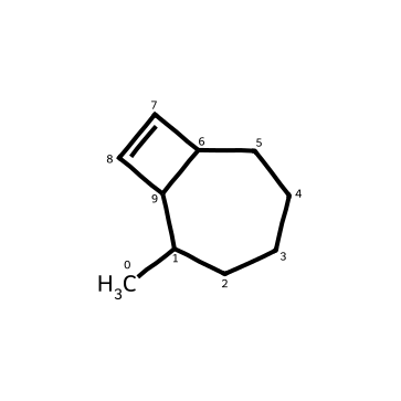 CC1CCCCC2C=CC12